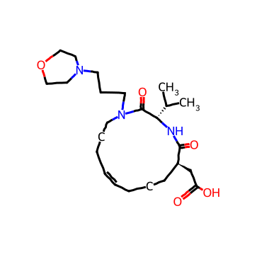 CC(C)[C@@H]1NC(=O)[C@@H](CC(=O)O)CCCC=CCCCN(CCCN2CCOCC2)C1=O